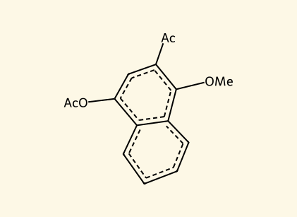 COc1c(C(C)=O)cc(OC(C)=O)c2ccccc12